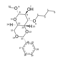 CCCCO[C@H]1[C@H](O)[C@@H](OC)O[C@@H]2CO[C@@H](c3ccccc3)O[C@@H]12